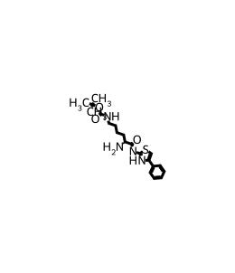 CC(C)(C)OC(=O)NCCCC[C@H](N)C(=O)Nc1nc(-c2ccccc2)cs1